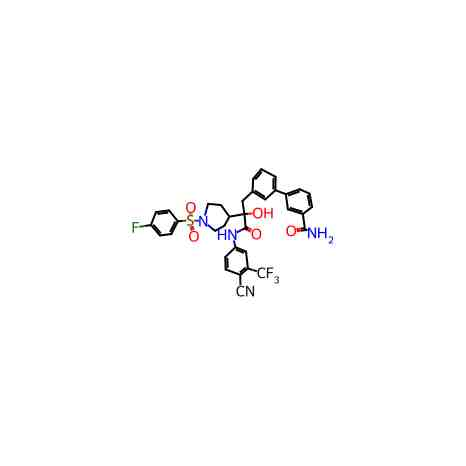 N#Cc1ccc(NC(=O)C(O)(Cc2cccc(-c3cccc(C(N)=O)c3)c2)C2CCN(S(=O)(=O)c3ccc(F)cc3)CC2)cc1C(F)(F)F